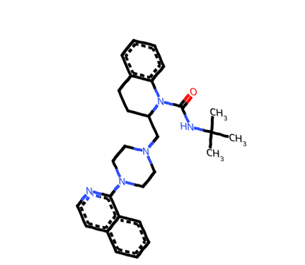 CC(C)(C)NC(=O)N1c2ccccc2CCC1CN1CCN(c2nccc3ccccc23)CC1